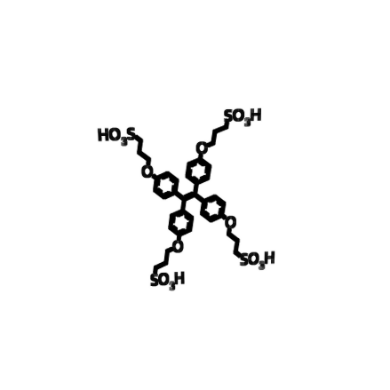 O=S(=O)(O)CCCOc1ccc(C(=C(c2ccc(OCCCS(=O)(=O)O)cc2)c2ccc(OCCCS(=O)(=O)O)cc2)c2ccc(OCCCS(=O)(=O)O)cc2)cc1